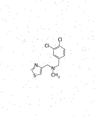 CN(Cc1ccc(Cl)c(Cl)c1)Cc1cs[c]n1